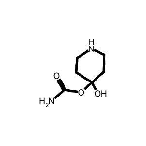 NC(=O)OC1(O)CCNCC1